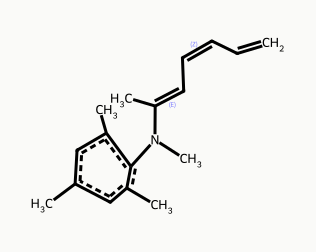 C=C/C=C\C=C(/C)N(C)c1c(C)cc(C)cc1C